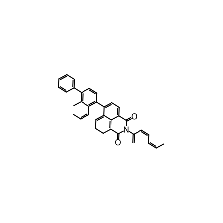 C=C(/C=C\C=C/C)N1C(=O)C2=c3c(ccc(-c4ccc(-c5ccccc5)c(C)c4/C=C\C)c3=CCC2)C1=O